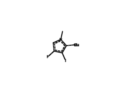 Cn1cc(F)c(I)c1C(C)(C)C